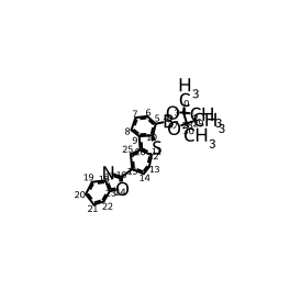 CC1(C)OB(c2cccc3c2sc2ccc(-c4nc5ccccc5o4)cc23)OC1(C)C